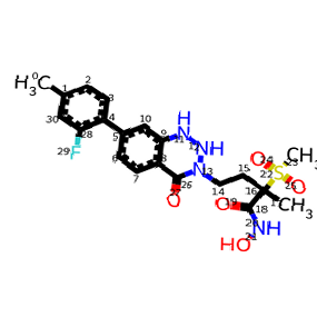 Cc1ccc(-c2ccc3c(c2)NNN(CCC(C)(C(=O)NO)S(C)(=O)=O)C3=O)c(F)c1